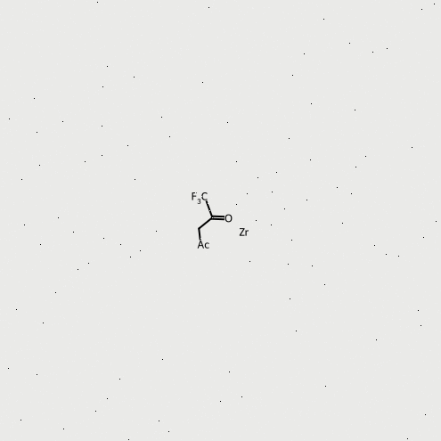 CC(=O)CC(=O)C(F)(F)F.[Zr]